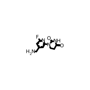 NCc1cc(F)nc(N2CCC(=O)NC2=O)c1